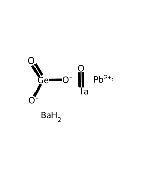 [BaH2].[O]=[Ge]([O-])[O-].[O]=[Ta].[Pb+2]